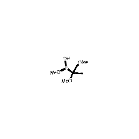 COP(O)C(C)(OC)OC